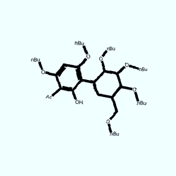 CCCCOCC1CC(c2c(OCCCC)cc(OCCCC)c(C(C)=O)c2O)C(OCCCC)C(OCCCC)C1OCCCC